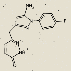 Nc1cc(Cc2ccc(=O)[nH]n2)nn1-c1ccc(F)cc1